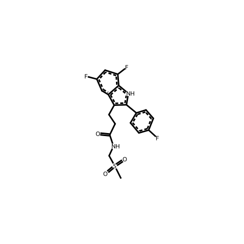 CS(=O)(=O)CNC(=O)CCc1c(-c2ccc(F)cc2)[nH]c2c(F)cc(F)cc12